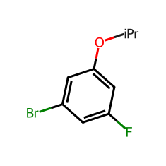 CC(C)Oc1cc(F)cc(Br)c1